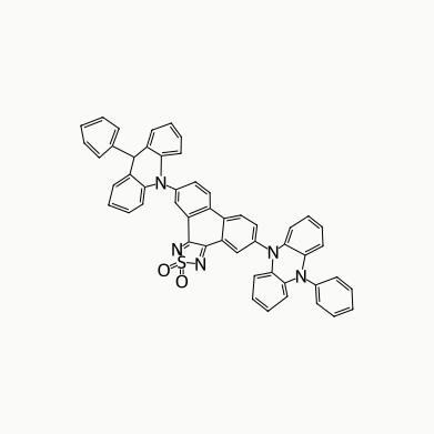 O=S1(=O)N=c2c(c3cc(N4c5ccccc5N(c5ccccc5)c5ccccc54)ccc3c3ccc(N4c5ccccc5C(c5ccccc5)c5ccccc54)cc23)=N1